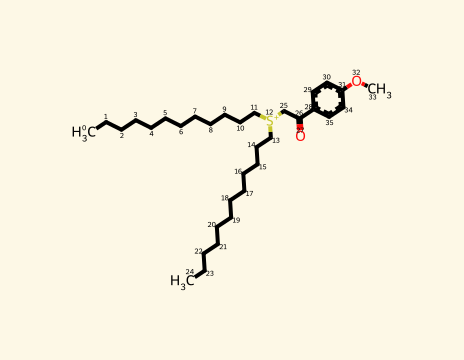 CCCCCCCCCCCC[S+](CCCCCCCCCCCC)CC(=O)c1ccc(OC)cc1